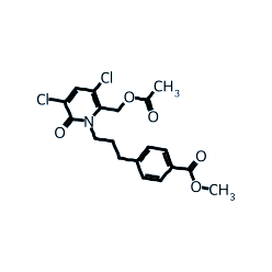 COC(=O)c1ccc(CCCn2c(COC(C)=O)c(Cl)cc(Cl)c2=O)cc1